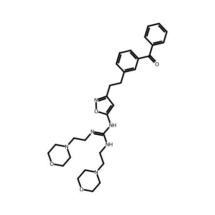 O=C(c1ccccc1)c1cccc(CCc2cc(NC(=NCCN3CCOCC3)NCCN3CCOCC3)on2)c1